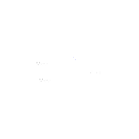 COc1cc2cc(C(=O)O)cnc2cc1OC